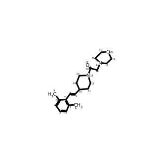 Cc1cccc(C)c1C=CC1CCN(C(=O)CN2CCOCC2)CC1